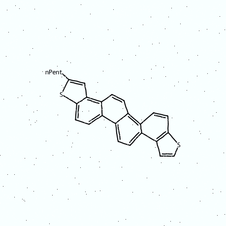 CCCCCc1cc2c(ccc3c2ccc2c4ccc5sccc5c4ccc32)s1